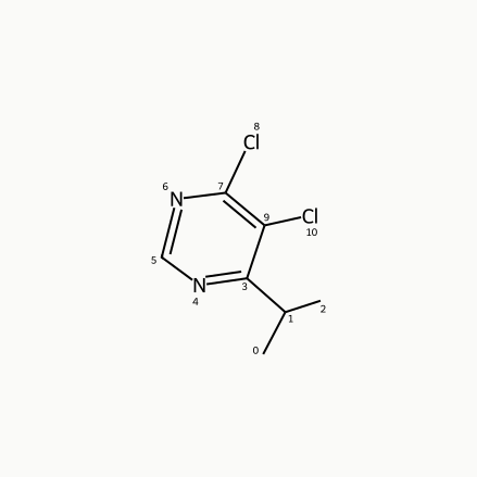 CC(C)c1ncnc(Cl)c1Cl